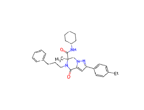 CCc1ccc(-c2cc3n(n2)CC(C)(C(=O)NC2CCCCC2)N(CCCc2ccccc2)C3=O)cc1